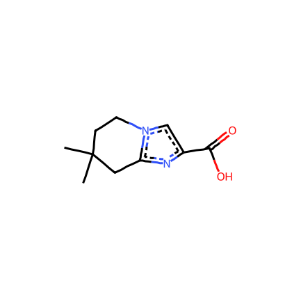 CC1(C)CCn2cc(C(=O)O)nc2C1